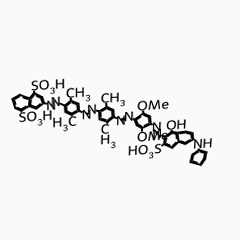 COc1cc(N=Nc2c(S(=O)(=O)O)cc3cc(Nc4ccccc4)ccc3c2O)c(OC)cc1N=Nc1cc(C)c(N=Nc2cc(C)c(N=Nc3cc(S(=O)(=O)O)c4cccc(S(=O)(=O)O)c4c3)cc2C)cc1C